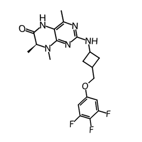 Cc1nc(NC2CC(COc3cc(F)c(F)c(F)c3)C2)nc2c1NC(=O)[C@H](C)N2C